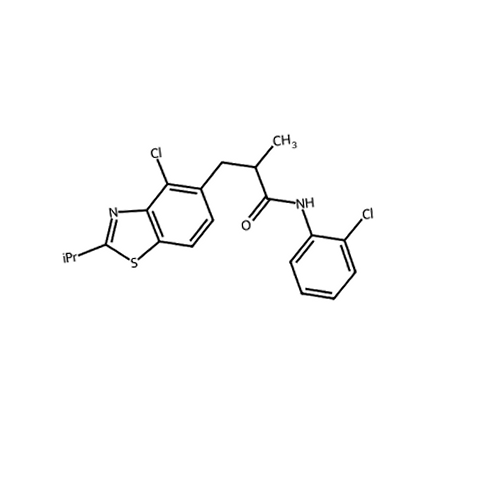 CC(Cc1ccc2sc(C(C)C)nc2c1Cl)C(=O)Nc1ccccc1Cl